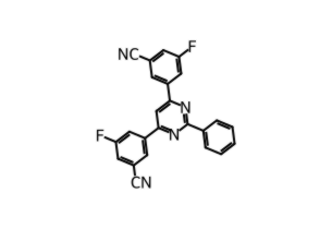 N#Cc1cc(F)cc(-c2cc(-c3cc(F)cc(C#N)c3)nc(-c3ccccc3)n2)c1